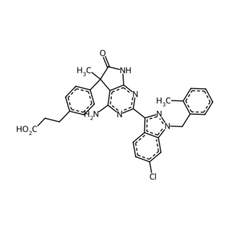 Cc1ccccc1Cn1nc(-c2nc(N)c3c(n2)NC(=O)C3(C)c2ccc(CCC(=O)O)cc2)c2ccc(Cl)cc21